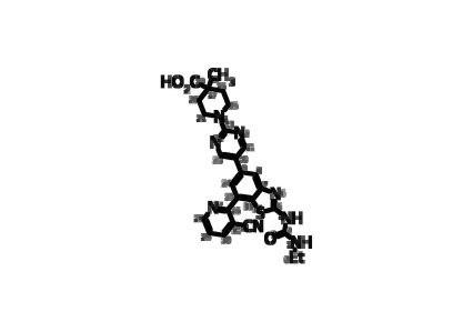 CCNC(=O)Nc1nc2cc(-c3cnc(N4CCC(C)(C(=O)O)CC4)nc3)cc(-c3ncccc3C#N)c2s1